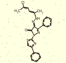 C/C(Cl)=C\C=C(/C)N/N=C1/C(=O)N(c2nc(-c3ccccc3)cs2)N=C1c1ccccc1